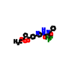 COC(=O)C1CCCC1C(=O)c1ccc(-c2ccc(NC(=O)c3nc(-c4ccccc4)oc3C(F)(F)F)cn2)cc1